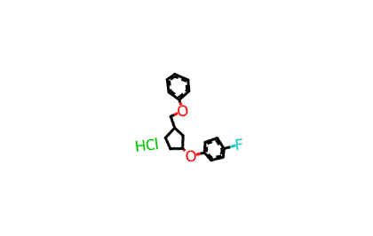 Cl.Fc1ccc(OC2CCC(COc3ccccc3)C2)cc1